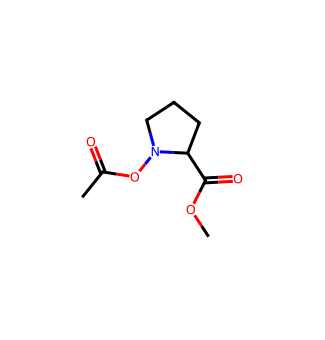 COC(=O)C1CCCN1OC(C)=O